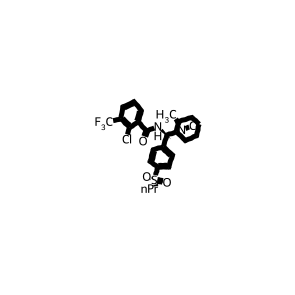 CCCS(=O)(=O)c1ccc([C@@H](NC(=O)c2cccc(C(F)(F)F)c2Cl)C23CCC(CC2)CN3C)cc1